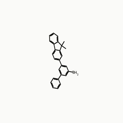 Bc1cc(-c2ccccc2)cc(-c2ccc3c(c2)C(C)(C)c2ccccc2-3)c1